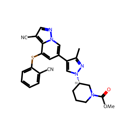 COC(=O)N1CCC[C@H](n2cc(-c3cc(Sc4ccccc4C#N)c4c(C#N)cnn4c3)c(C)n2)C1